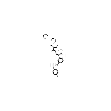 Cc1ccc([C@@H](C)NC(=O)c2ccc3c(c2)/C(=C/c2[nH]c(C)c(C(=O)N4CCC[C@H]4CN4CCCC4)c2C)C(=O)N3)cc1